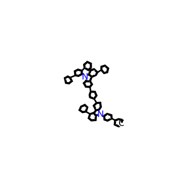 c1ccc(-c2ccc(-n3c4ccc(-c5ccc(-c6ccc7c(c6)c6cc(-c8ccccc8)ccc6n7-c6cc(-c7ccccc7)ccc6-c6ccccc6)cc5)cc4c4c(-c5ccccc5)cccc43)cc2)cc1